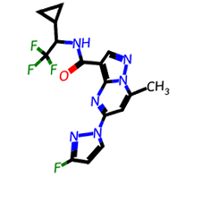 Cc1cc(-n2ccc(F)n2)nc2c(C(=O)NC(C3CC3)C(F)(F)F)cnn12